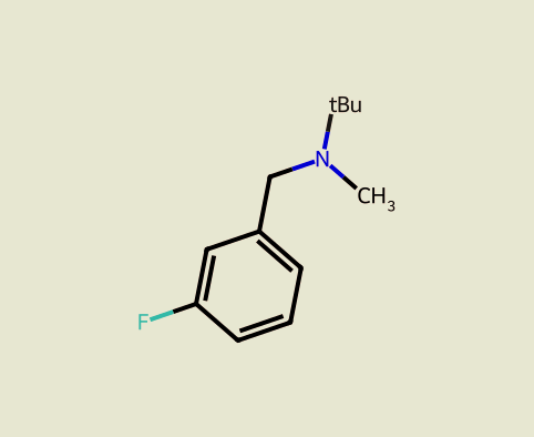 CN(Cc1cccc(F)c1)C(C)(C)C